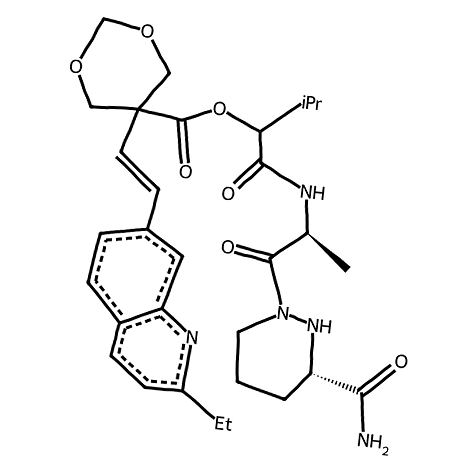 CCc1ccc2ccc(/C=C/C3(C(=O)OC(C(=O)N[C@@H](C)C(=O)N4CCC[C@@H](C(N)=O)N4)C(C)C)COCOC3)cc2n1